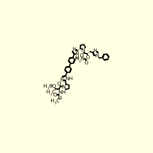 COC(=O)N[C@H](C(=O)N1CCCC1c1ncc(-c2ccc(-c3ccc(-c4cnc([C@@H]5CCCN5C(=O)[C@H](Cc5cn(Cc6ccccc6)cn5)OC(N)=O)[nH]4)cc3)cc2)[nH]1)[C@@H](C)OC